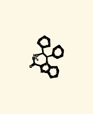 NC(=O)c1nc2ccccc2n1[C@H](c1ccccc1)[C@@H](O)c1ccccc1